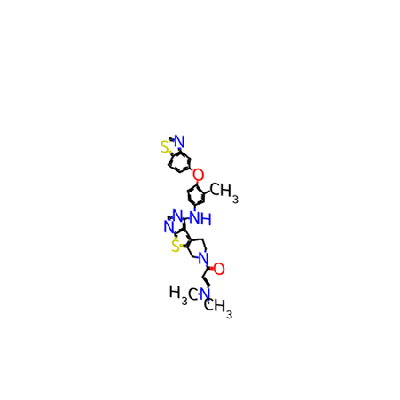 Cc1cc(Nc2ncnc3sc4c(c23)CCN(C(=O)/C=C/N(C)C)C4)ccc1Oc1ccc2scnc2c1